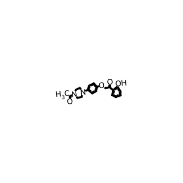 CC(=O)N1CCN(c2ccc(OCC(=O)c3ccccc3O)cc2)CC1